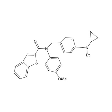 CCN(c1ccc(CN(C(=O)c2cc3ccccc3s2)c2ccc(OC)cc2)cc1)C1CC1